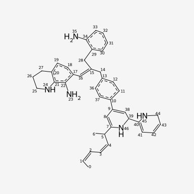 C/C=C\C=C/C(C)C1=CC(c2ccc(C/C(=C/c3ccc4c(c3N)NCCC4)Cc3ccccc3N)cc2)=CC(C2=CC=CCN2)N1